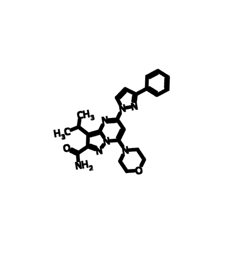 CC(C)c1c(C(N)=O)nn2c(N3CCOCC3)cc(-n3ccc(-c4ccccc4)n3)nc12